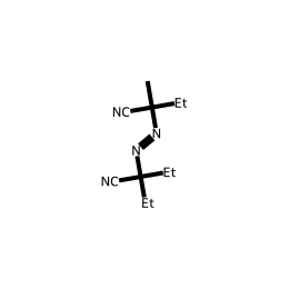 CCC(C)(C#N)N=NC(C#N)(CC)CC